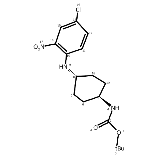 CC(C)(C)OC(=O)N[C@H]1CC[C@H](Nc2ccc(Cl)cc2[N+](=O)[O-])CC1